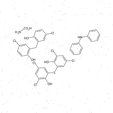 NC(=O)O.Oc1c(Cl)cc(Cl)cc1Sc1cc(Cl)cc(Cl)c1O.Oc1ccc(Cl)cc1Cc1cc(Cl)ccc1O.c1ccc(Nc2ccccc2)cc1